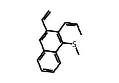 C=Cc1cc2ccccc2c(SC)c1/C=C\C